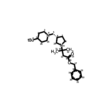 CC(C)(C)C1CCN(C[C@@H]2CCN(C(C)(C)CC(=O)OCc3ccccc3)C2)CC1